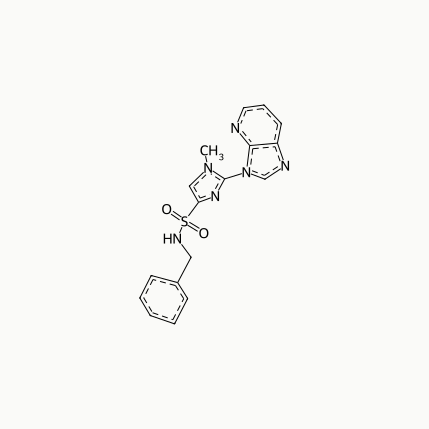 Cn1cc(S(=O)(=O)NCc2ccccc2)nc1-n1cnc2cccnc21